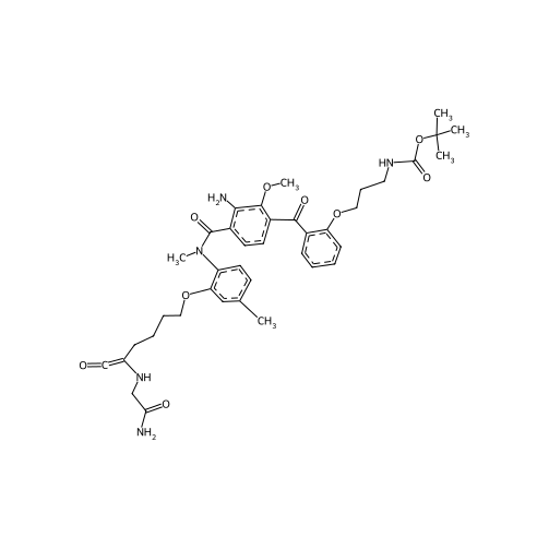 COc1c(C(=O)c2ccccc2OCCCNC(=O)OC(C)(C)C)ccc(C(=O)N(C)c2ccc(C)cc2OCCCCC(=C=O)NCC(N)=O)c1N